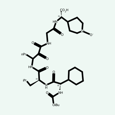 CCCC(NC(=O)[C@H](CC(C)C)NC(=O)[C@@H](NC(=O)OCC(C)C)C1CCCCC1)C(=O)C(=O)NCC(=O)N[C@H](C(=O)O)C1CC[S+]([O-])CC1